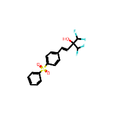 O=S(=O)(c1ccccc1)c1ccc(C=CC(O)(C(F)F)C(F)F)cc1